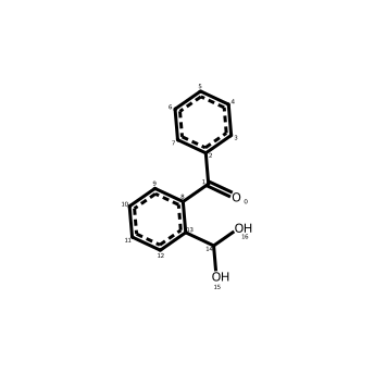 O=C(c1ccccc1)c1ccccc1C(O)O